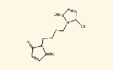 O=C1C=CC(=O)N1CCCCN1C(=O)C=CC1O